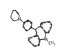 CN1c2ccccc2C(c2ccc(N3CCCCC3)cc2)c2ccccc21